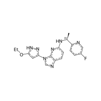 CCOc1cc(-n2cnc3ccc(N[C@@H](C)c4ccc(F)cn4)nc32)n[nH]1